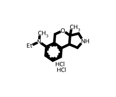 CCN(C)c1cccc2c1COC1(C)CNCC21.Cl.Cl